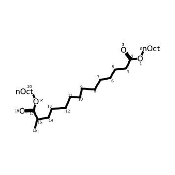 CCCCCCCCOC(=O)CCCCCCCCCCCC(C)C(=O)OCCCCCCCC